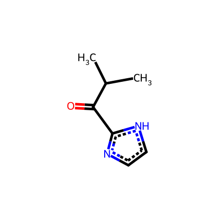 CC(C)C(=O)c1ncc[nH]1